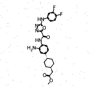 COC(=O)C[C@H]1CC[C@H](c2ccc(NC(=O)c3nnc(Nc4ccc(F)c(F)c4)o3)c(N)c2)CC1